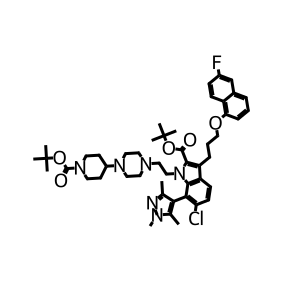 Cc1nn(C)c(C)c1-c1c(Cl)ccc2c(CCCOc3cccc4cc(F)ccc34)c(C(=O)OC(C)(C)C)n(CCN3CCN(C4CCN(C(=O)OC(C)(C)C)CC4)CC3)c12